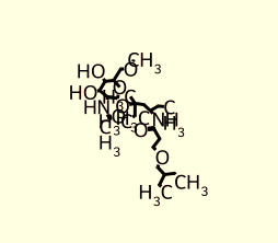 CCC(CC)COCCC(=O)NC(C)(CC)CC(C)(CC)OC1OC(COC)C(O)C(O)C1NC(C)=O